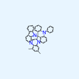 Cc1cc(C)c2ncc(C3(n4c5ccccc5c5ccccc54)c4ccccc4N(c4ccccc4)c4ccccc43)nc2c1